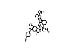 CN(C1CCCc2c1cnn2CC(=O)O)S(=O)(=O)c1cc(Cl)c(Oc2ccc(F)cc2)cc1F